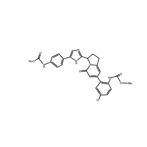 COC(=O)Nc1ccc(-c2cnc(C3CCc4cc(-c5cc(Cl)ccc5NC(=O)OC(C)(C)C)cc(=O)n43)[nH]2)cc1